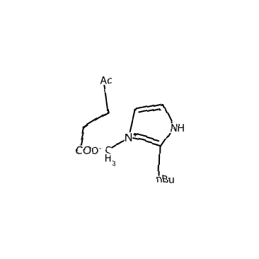 CC(=O)CCC(=O)[O-].CCCCc1[nH]cc[n+]1C